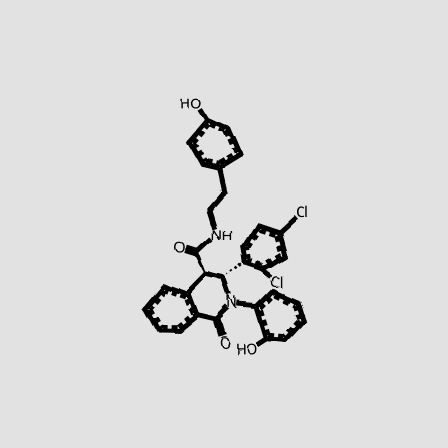 O=C(NCCc1ccc(O)cc1)[C@@H]1c2ccccc2C(=O)N(c2ccccc2O)[C@H]1c1ccc(Cl)cc1Cl